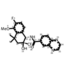 COc1c(F)ccc2c1C(C)(C)C[C@](O)(C(F)(F)F)[C@H]2NC(=O)c1ccc2nccnc2c1